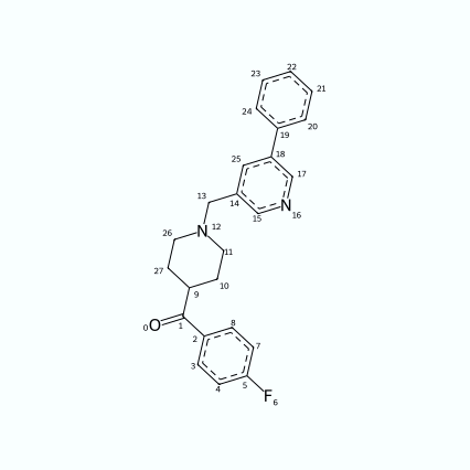 O=C(c1ccc(F)cc1)C1CCN(Cc2cncc(-c3ccccc3)c2)CC1